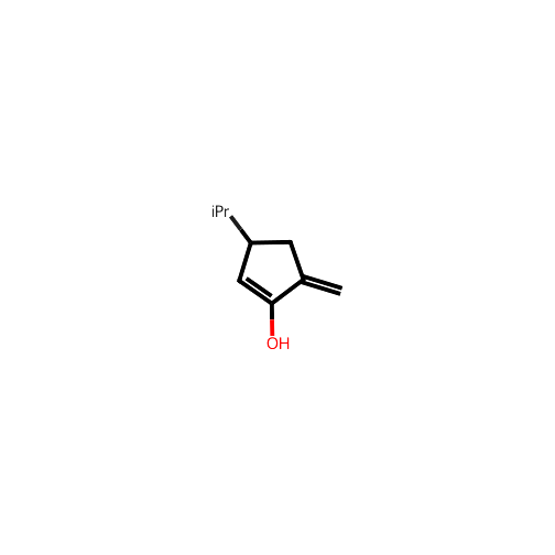 C=C1CC(C(C)C)C=C1O